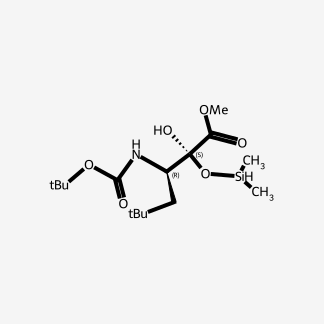 COC(=O)[C@@](O)(O[SiH](C)C)[C@@H](CC(C)(C)C)NC(=O)OC(C)(C)C